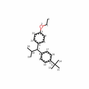 CCOc1ccc(C(c2ccc(C(C)(C)C)cc2)C(C)C)cc1